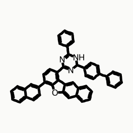 c1ccc(C2=NC(c3ccc(-c4ccc5ccccc5c4)c4oc5cc6ccccc6cc5c34)=NC(c3ccc(-c4ccccc4)cc3)N2)cc1